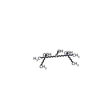 CCCCCCC/C(CCCC)=C(\CCCCCCCN(CCCO)CCCCCCC/C(C(=O)O)=C(/CCCC)CCCCCCC)C(=O)O